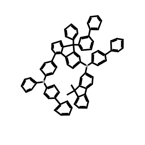 CC1(C)c2ccccc2-c2ccc(N(c3ccc(-c4ccccc4)cc3)c3ccc4c(c3)C(c3ccccc3)(c3cccc(-c5ccccc5)c3)c3cccc(-c5ccc(N(c6ccccc6)c6ccc(-c7ccccc7)cc6)cc5)c3-4)cc21